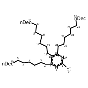 [CH2]Cc1nc(CCCCCCCCCCCCCCCC)c(CCCCCCCCCCCCCCCC)c(CCCCCCCCCCCCCCCC)n1